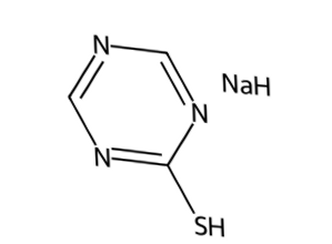 Sc1ncncn1.[NaH]